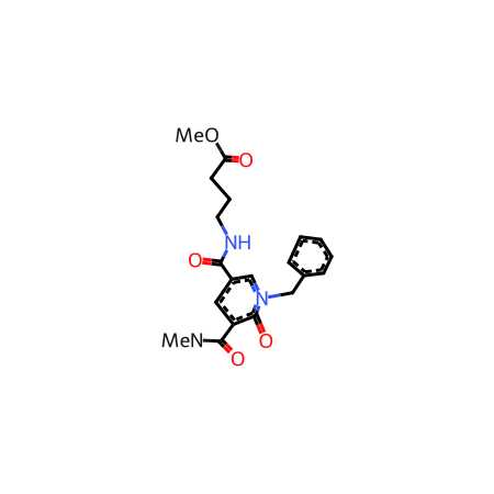 CNC(=O)c1cc(C(=O)NCCCC(=O)OC)cn(Cc2ccccc2)c1=O